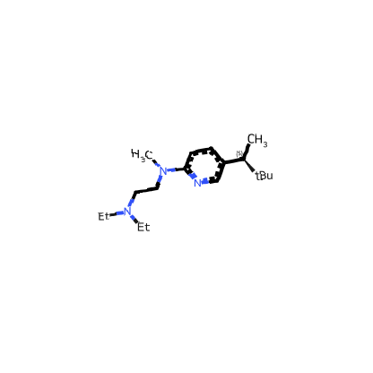 CCN(CC)CCN(C)c1ccc([C@@H](C)C(C)(C)C)cn1